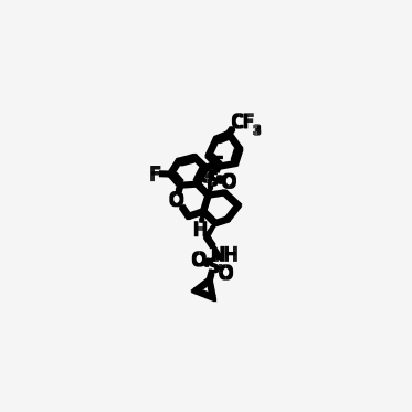 O=S(=O)(NC[C@@H]1CCC[C@@]2(S(=O)(=O)c3ccc(C(F)(F)F)cc3)c3c(F)ccc(F)c3OC[C@@H]12)C1CC1